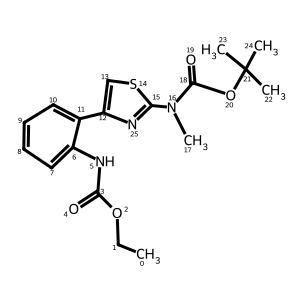 CCOC(=O)Nc1ccccc1-c1csc(N(C)C(=O)OC(C)(C)C)n1